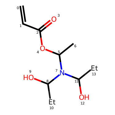 C=CC(=O)OC(C)N(C(O)CC)C(O)CC